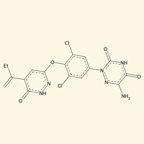 C=C(CC)c1cc(Oc2c(Cl)cc(-n3nc(N)c(=O)[nH]c3=O)cc2Cl)n[nH]c1=O